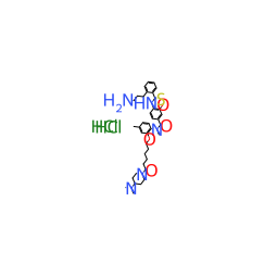 COc1cc(C(=O)N(C)c2ccc(C)cc2OCCCCCC(=O)N2CCC(N(C)C)CC2)ccc1NC(=S)c1ccccc1CCCN.Cl.Cl